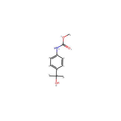 COC(=O)Nc1ccc(C(C)(C)O)cc1